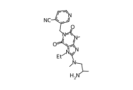 CCn1c(N(C)CC(C)N)nc2c1c(=O)n(Cc1cnccc1C#N)c(=O)n2C